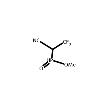 CO[PH](=O)C(C#N)C(F)(F)F